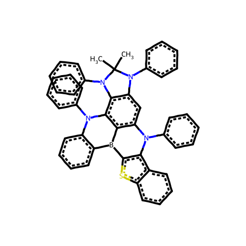 CC1(C)N(c2ccccc2)c2cc3c4c(c2N1c1ccccc1)N(c1ccccc1)c1ccccc1B4c1sc2ccccc2c1N3c1ccccc1